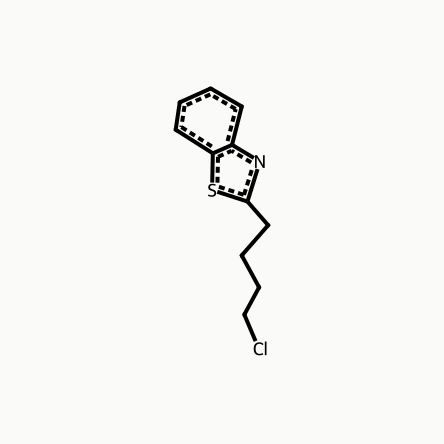 ClCCCCc1nc2ccccc2s1